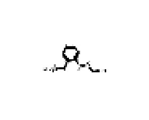 CCCCCCCCc1ccccc1OOCO